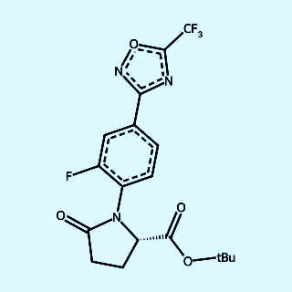 CC(C)(C)OC(=O)[C@@H]1CCC(=O)N1c1ccc(-c2noc(C(F)(F)F)n2)cc1F